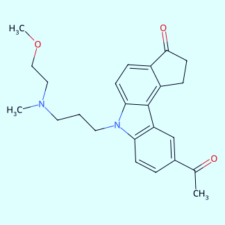 COCCN(C)CCCn1c2ccc(C(C)=O)cc2c2c3c(ccc21)C(=O)CC3